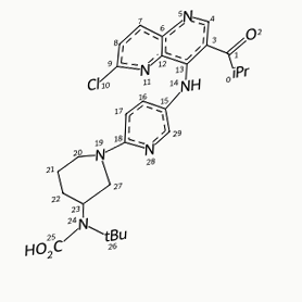 CC(C)C(=O)c1cnc2ccc(Cl)nc2c1Nc1ccc(N2CCCC(N(C(=O)O)C(C)(C)C)C2)nc1